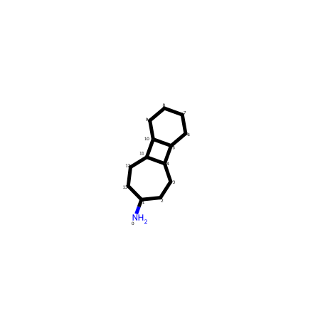 NC1CCC2C3CCCCC3C2CC1